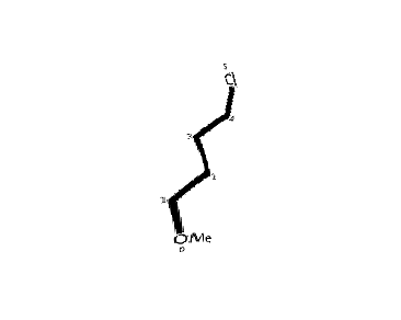 [CH2]OCCCCCl